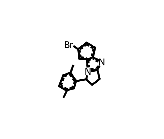 Cc1ccc(C)c(C2CCc3nc4ccc(Br)cc4n32)c1